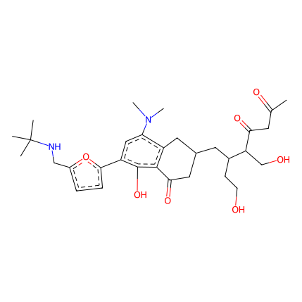 CC(=O)CC(=O)C(CO)C(CCO)CC1CC(=O)c2c(O)c(-c3ccc(CNC(C)(C)C)o3)cc(N(C)C)c2C1